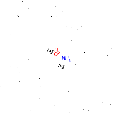 N.O.[Ag].[Ag]